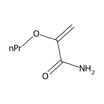 C=C(OCCC)C(N)=O